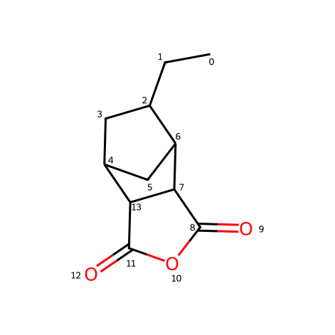 CCC1CC2CC1C1C(=O)OC(=O)C21